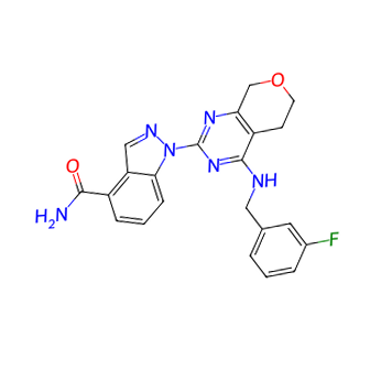 NC(=O)c1cccc2c1cnn2-c1nc2c(c(NCc3cccc(F)c3)n1)CCOC2